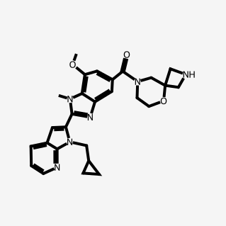 COc1cc(C(=O)N2CCOC3(CNC3)C2)cc2nc(-c3cc4cccnc4n3CC3CC3)n(C)c12